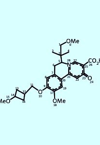 COCC(C)(C)C1Cc2cc(OCC3CC(OC)C3)c(OC)cc2-c2cc(=O)c(C(=O)O)cn21